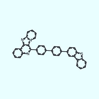 c1ccc2c(c1)nc(-c1ccc(-c3ccc(-c4ccc5sc6ccccc6c5c4)cc3)cc1)c1c2nc2ccccn21